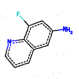 Nc1cc(F)c2ncccc2c1